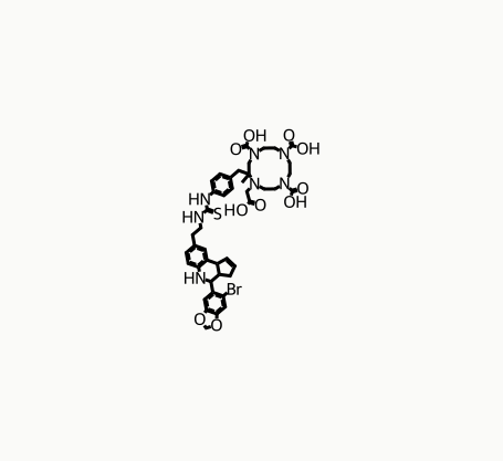 CC1(Cc2ccc(NC(=S)NCCc3ccc4c(c3)C3C=CCC3C(c3cc5c(cc3Br)OCO5)N4)cc2)CN(C(=O)O)CCN(C(=O)O)CCN(C(=O)O)CCN1CC(=O)O